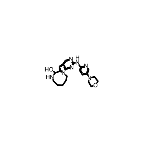 OC1NCCCCCn2c1cc1cnc(Nc3ccc(N4CCOCC4)cn3)nc12